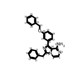 Nc1nccn2c(Cc3ccccc3)nc(-c3cccc(OCc4ccccc4)c3)c12